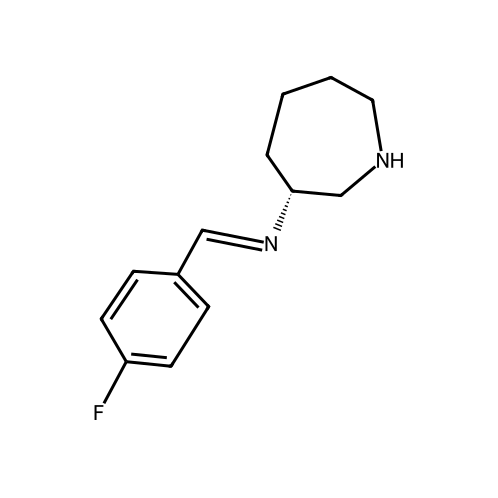 Fc1ccc(/C=N/[C@@H]2CCCCNC2)cc1